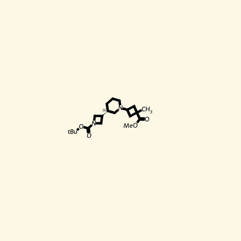 COC(=O)C1(C)CC(N2CCC[C@@H](C3CN(C(=O)OC(C)(C)C)C3)C2)C1